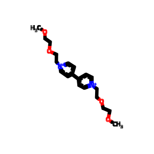 COCCOCC[n+]1ccc(-c2cc[n+](CCOCCOC)cc2)cc1